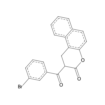 O=C1Oc2ccc3ccccc3c2CC1C(=O)c1cccc(Br)c1